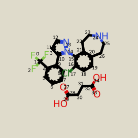 FC(F)(F)c1ccccc1-c1ccnn1-c1c(Cl)ccc2c1CCNCC2.O=C(O)CCC(=O)O